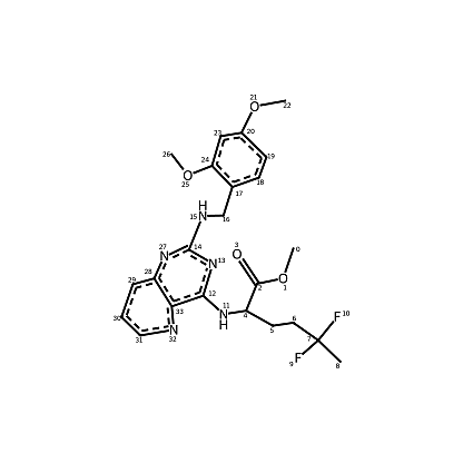 COC(=O)C(CCC(C)(F)F)Nc1nc(NCc2ccc(OC)cc2OC)nc2cccnc12